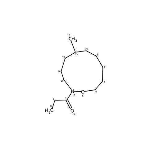 CCC(=O)N1CCCCCCC(C)CCC1